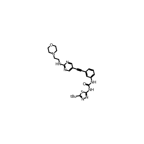 CC(C)(C)c1nnc(NC(=O)Nc2cccc(C#Cc3cnc(NCCN4CCOCC4)nc3)c2)s1